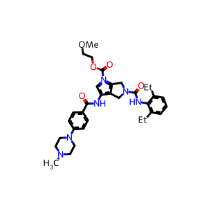 CCc1cccc(CC)c1NC(=O)N1Cc2c(NC(=O)c3ccc(N4CCN(C)CC4)cc3)cn(C(=O)OCCOC)c2C1